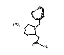 Cl.NC(=S)CC1CCCCN1Cc1ccccc1